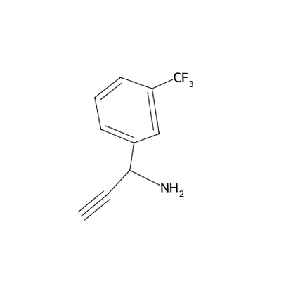 C#CC(N)c1cccc(C(F)(F)F)c1